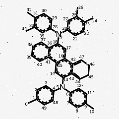 Cc1ccc(N(c2ccc(C)cc2)c2cc3c(cc(N(c4ccc(C)c(C)c4)c4ccc(C)c(C)c4)c4ccccc43)c3c2=CCCC=3)cc1